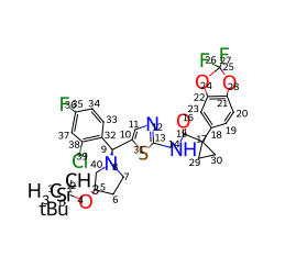 CC(C)(C)[Si](C)(C)O[C@@H]1CCN([C@H](c2cnc(NC(=O)C3(c4ccc5c(c4)OC(F)(F)O5)CC3)s2)c2ccc(F)cc2Cl)C1